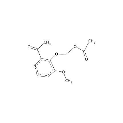 COc1ccnc(C(C)=O)c1OCOC(C)=O